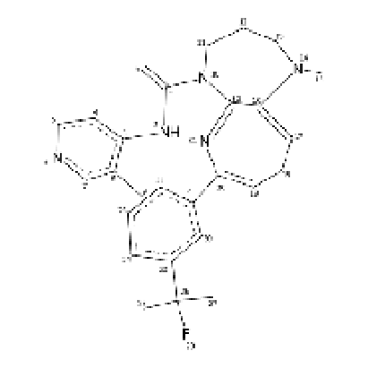 C=C(Nc1ccncc1C)N1CCCN(C)C2=CCC=C(c3cccc(C(C)(C)F)c3)N=C21